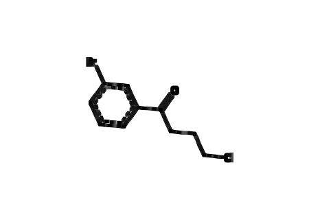 O=C(CCCCl)c1cccc(Br)c1